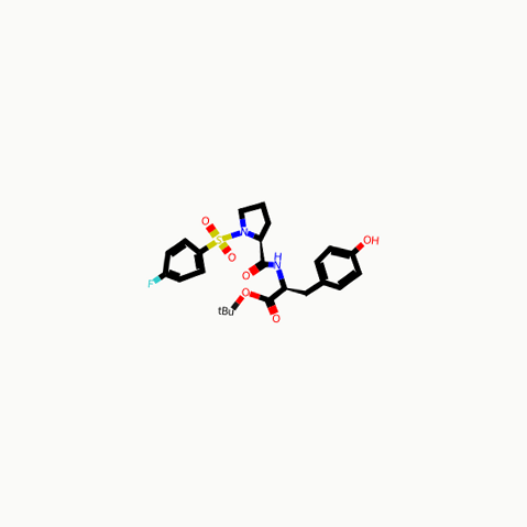 CC(C)(C)OC(=O)[C@H](Cc1ccc(O)cc1)NC(=O)[C@@H]1CCCN1S(=O)(=O)c1ccc(F)cc1